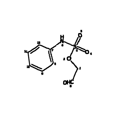 O=CCOS(=O)(=O)Nc1ccccc1